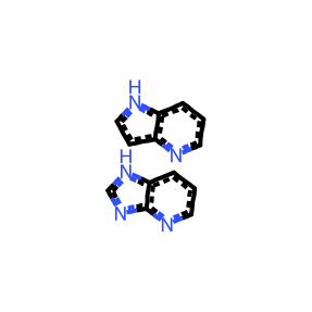 c1cnc2cc[nH]c2c1.c1cnc2nc[nH]c2c1